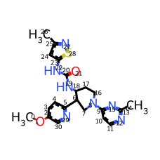 COc1ccc(C2CN(c3ccnc(C)n3)CCC2NC(=O)Nc2cc(C)ns2)nc1